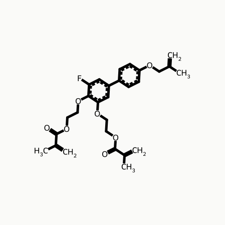 C=C(C)COc1ccc(-c2cc(F)c(OCCOC(=O)C(=C)C)c(OCCOC(=O)C(=C)C)c2)cc1